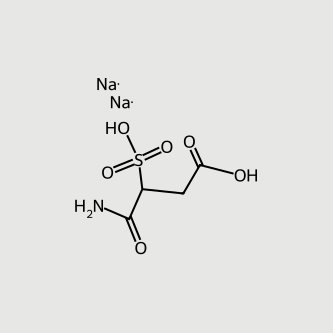 NC(=O)C(CC(=O)O)S(=O)(=O)O.[Na].[Na]